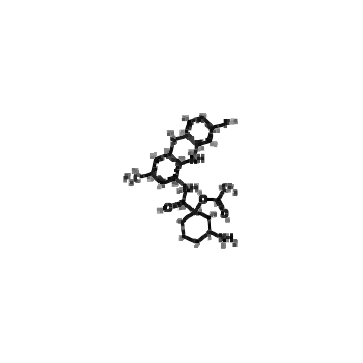 NC1CCCC(OC(=O)C(F)(F)F)(C(=O)Nc2cc(C(F)(F)F)cc3c2Nc2cc(F)ccc2S3)C1